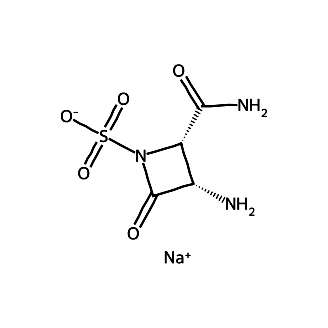 NC(=O)[C@@H]1[C@H](N)C(=O)N1S(=O)(=O)[O-].[Na+]